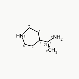 C[C@H](N)C1CCNCC1